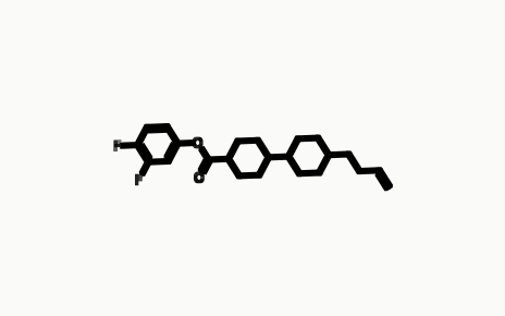 C=CCCC1CCC(C2CCC(C(=O)Oc3ccc(F)c(F)c3)CC2)CC1